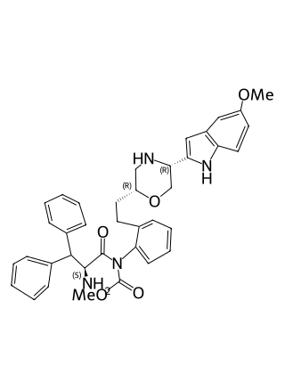 COC(=O)N(C(=O)[C@@H](N)C(c1ccccc1)c1ccccc1)c1ccccc1CC[C@@H]1CN[C@H](c2cc3cc(OC)ccc3[nH]2)CO1